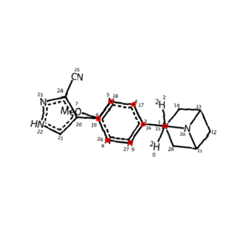 [2H]C([2H])(c1ccc(OC)nc1)N1C2CC1CN(c1cnc(-c3c[nH]nc3C#N)cn1)C2